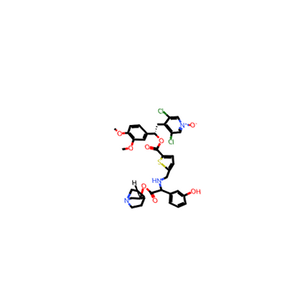 COc1ccc([C@H](Cc2c(Cl)c[n+]([O-])cc2Cl)OC(=O)c2ccc(CNC(C(=O)O[C@H]3CN4CCC3CC4)c3cccc(O)c3)s2)cc1OC